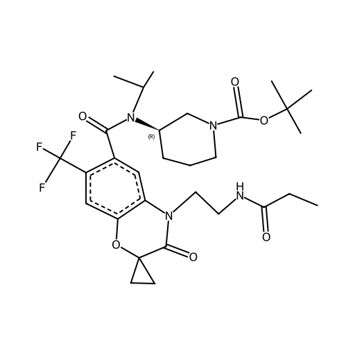 CCC(=O)NCCN1C(=O)C2(CC2)Oc2cc(C(F)(F)F)c(C(=O)N(C(C)C)[C@@H]3CCCN(C(=O)OC(C)(C)C)C3)cc21